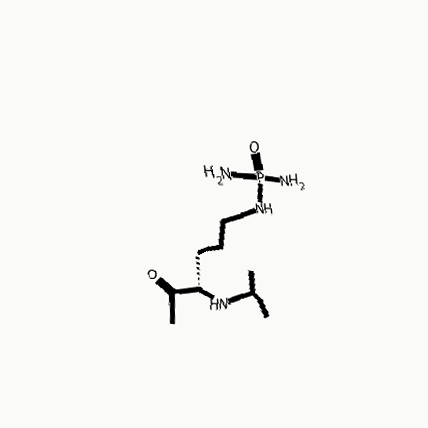 CC(=O)[C@H](CCCNP(N)(N)=O)NC(C)C